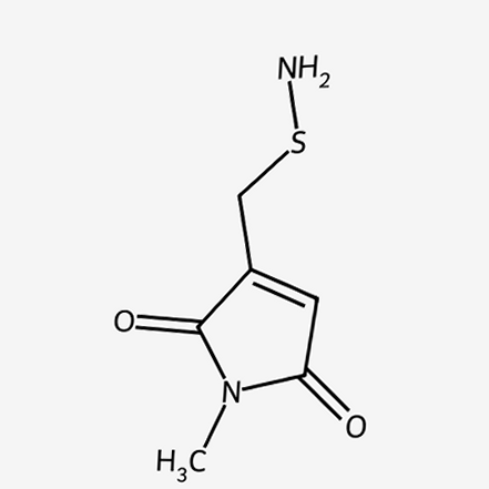 CN1C(=O)C=C(CSN)C1=O